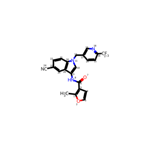 Cc1occc1C(=O)Nc1cn(Cc2ccc(C(F)(F)F)nc2)c2ccc(C#N)cc12